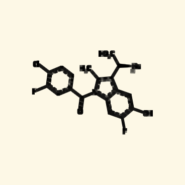 CC[C@H](C)C(C(=O)O)c1c(C)n(C(=O)c2ccc(Cl)c(F)c2)c2cc(F)c(O)cc12